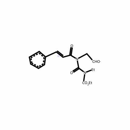 CCOC(=O)N(CC)C(=O)N(C[C]=O)C(=O)/C=C/c1ccccc1